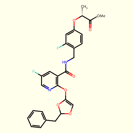 COC(=O)[C@@H](C)Oc1ccc(CNC(=O)c2cc(F)cnc2OC2=COC(Cc3ccccc3)O2)c(F)c1